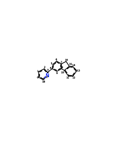 c1ccc(-c2ccc3c(c2)-c2ccccc2C3)nc1